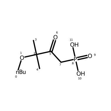 CCCCOC(C)(C)C(=O)CP(=O)(O)O